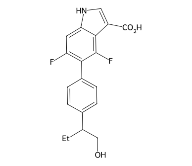 CCC(CO)c1ccc(-c2c(F)cc3[nH]cc(C(=O)O)c3c2F)cc1